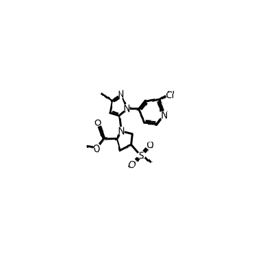 COC(=O)C1CC(S(C)(=O)=O)CN1c1cc(C)nn1-c1ccnc(Cl)c1